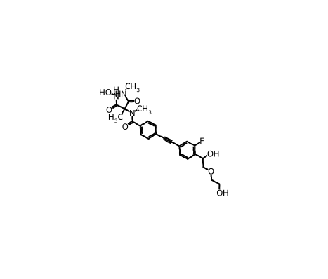 CNC(=O)C(C)(C(=O)NO)N(C)C(=O)c1ccc(C#Cc2ccc(C(O)COCCO)c(F)c2)cc1